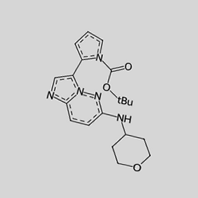 CC(C)(C)OC(=O)n1cccc1-c1cnc2ccc(NC3CCOCC3)nn12